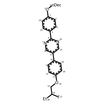 CCCCCCCCCCOc1ccc(-c2ncc(-c3ccc(OCC(F)CC)cc3)cn2)cc1